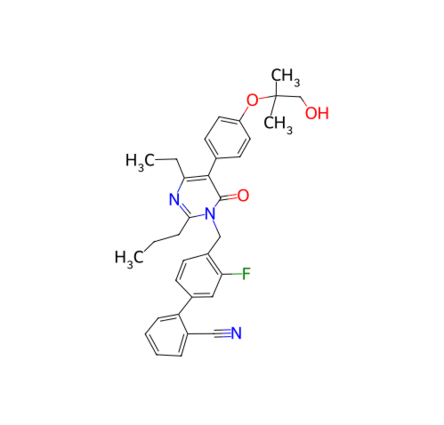 CCCc1nc(CC)c(-c2ccc(OC(C)(C)CO)cc2)c(=O)n1Cc1ccc(-c2ccccc2C#N)cc1F